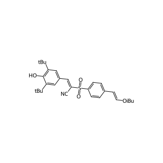 CC(C)COC=Cc1ccc(S(=O)(=O)C(C#N)=Cc2cc(C(C)(C)C)c(O)c(C(C)(C)C)c2)cc1